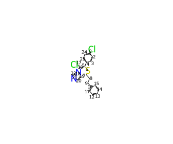 Clc1ccc(C(SCCCc2ccccc2)C(Cl)n2ccnc2)cc1